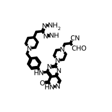 N#CC(C=O)CN1CCN(c2nc(Nc3ccc(CN4CCC(C/C(N=N)=N/N)CC4)cc3)c3c(=O)[nH]ncc3n2)CC1